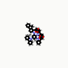 CC1(C)c2ccccc2-c2ccc3c(c21)c1ccccc1n3-c1c(C#N)c(-n2c3ccccc3c3ccccc32)c(C#N)c(-n2c3ccccc3c3ccccc32)c1-n1c2ccccc2c2ccccc21